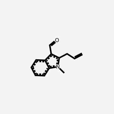 C=CCc1c(C=O)c2ccccc2n1C